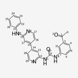 CC(=O)c1cccc(NC(=O)Nc2cc(-c3ccnc(Nc4ccccc4)c3)ccn2)c1